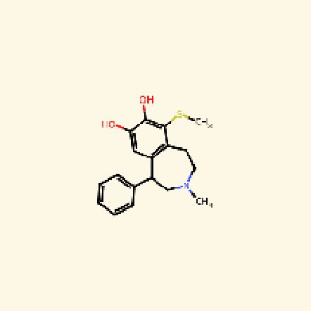 CSc1c(O)c(O)cc2c1CCN(C)CC2c1ccccc1